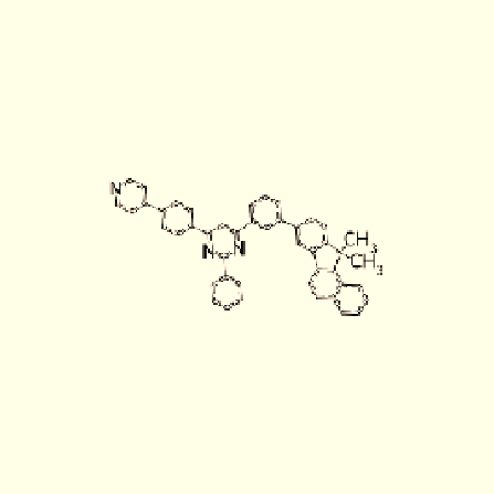 CC1(C)c2ccc(-c3cccc(-c4cc(-c5ccc(-c6ccncc6)cc5)nc(-c5ccccc5)n4)c3)cc2-c2ccc3ccccc3c21